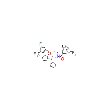 O=C(c1cc(C(F)(F)F)cc(C(F)(F)F)c1)N1CC[C@@H](OCc2cc(F)cc(C(F)(F)F)c2)[C@@H](C(c2ccccc2)c2ccccc2)C1